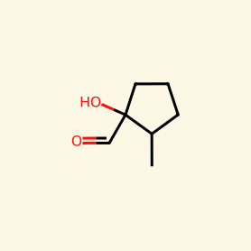 CC1CCCC1(O)C=O